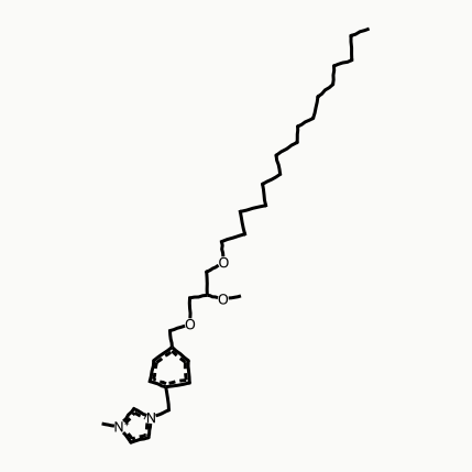 CCCCCCCCCCCCCCCCOCC(COCc1ccc(Cn2cc[n+](C)c2)cc1)OC